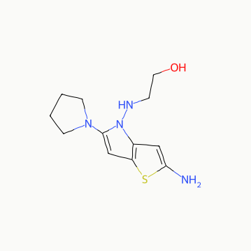 Nc1cc2c(cc(N3CCCC3)n2NCCO)s1